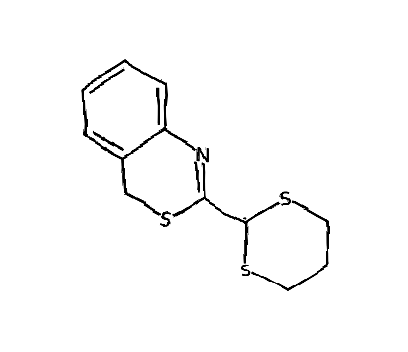 c1ccc2c(c1)CSC([C]1SCCCS1)=N2